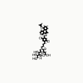 O=C(CCC(O)O)N(CCCCc1cc(Cl)c(COC2(c3cnccc3-c3ccccc3OC3CC3)CC2)cc1Cl)C[C@@H](O)[C@H](O)[C@@H](O)[C@@H](O)CO